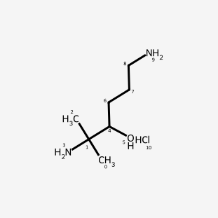 CC(C)(N)C(O)CCCN.Cl